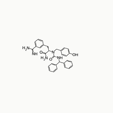 N=C(N)c1cccc(C[C@H](C(N)=O)N(Cc2ccc(O)cc2)C(=O)NC(c2ccccc2)c2ccccc2)c1